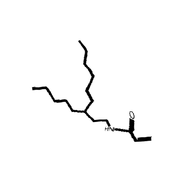 C=CC(=O)NCCC(CCCCC)CCCCCC